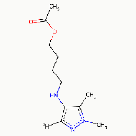 [2H]c1nn(C)c(C)c1NCCCCOC(C)=O